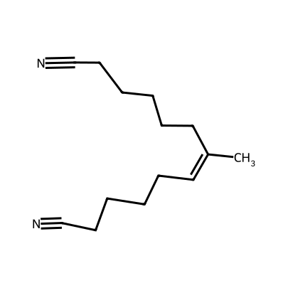 CC(=CCCCCC#N)CCCCCC#N